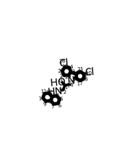 OC(CNc1cccc2ccccc12)Cn1c2ccc(Cl)cc2c2cc(Cl)ccc21